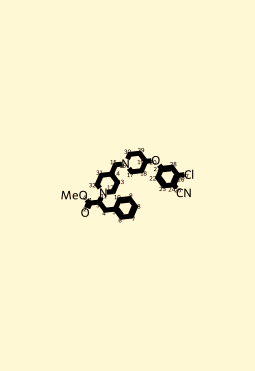 COC(=O)C(Cc1ccccc1)N1CCC(CN2CCC(Oc3ccc(C#N)c(Cl)c3)CC2)CC1